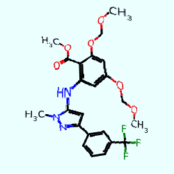 COCOc1cc(Nc2cc(-c3cccc(C(F)(F)F)c3)nn2C)c(C(=O)OC)c(OCOC)c1